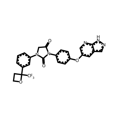 O=C1CN(c2cccc(C3(C(F)(F)F)CCO3)c2)C(=O)N1c1ccc(Oc2cnc3[nH]ncc3c2)cc1